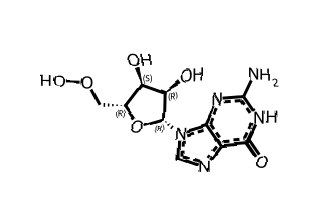 Nc1nc2c(ncn2[C@@H]2O[C@H](COO)[C@@H](O)[C@H]2O)c(=O)[nH]1